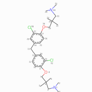 CN(C)CC(C)(C)COc1ccc(Cc2ccc(OCC(C)(C)CN(C)C)c(Cl)c2)cc1Cl